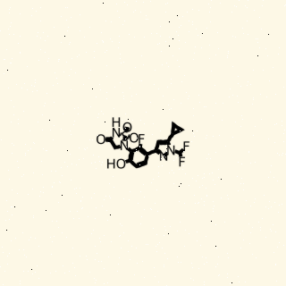 O=C1CN(c2c(O)ccc(-c3cc(C4CC4)n(C(F)F)n3)c2F)S(=O)(=O)N1